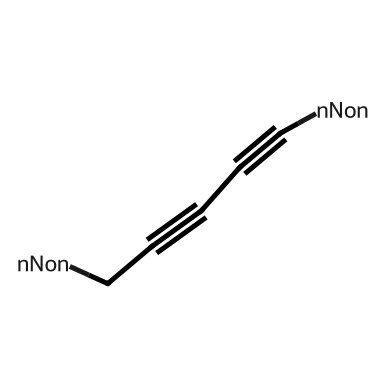 [CH2]CCCCCCCCC#CC#CCCCCCCCCCC